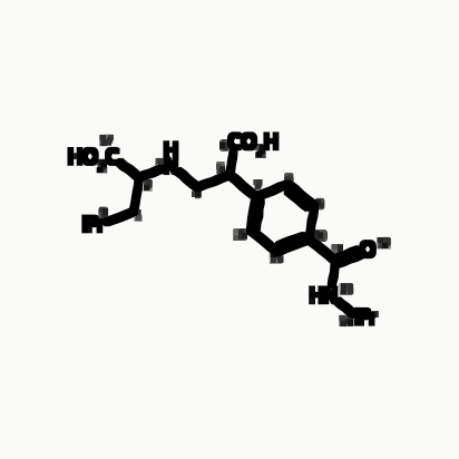 CC(C)CC(NCC(C(=O)O)c1ccc(C(=O)NC(C)C)cc1)C(=O)O